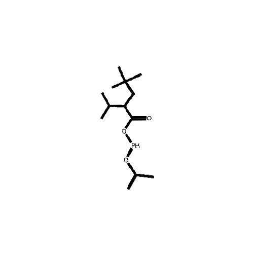 CC(C)OPOC(=O)C(CC(C)(C)C)C(C)C